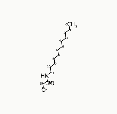 CCCCCCCCCCCCNC(=O)C[O]